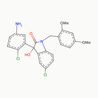 COc1ccc(CN2C(=O)C(O)(c3cc(N)ccc3Cl)c3cc(Cl)ccc32)c(OC)c1